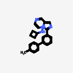 Cc1ccc(-c2cccc(C3=NC=C4C=NC=C[N+]43NC3CCC3)c2)cc1